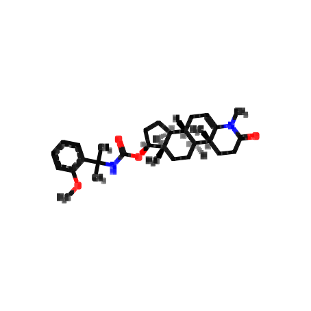 COc1ccccc1C(C)(C)NC(=O)O[C@H]1CC[C@H]2[C@@H]3CC=C4N(C)C(=O)CC[C@]4(C)[C@H]3CC[C@]12C